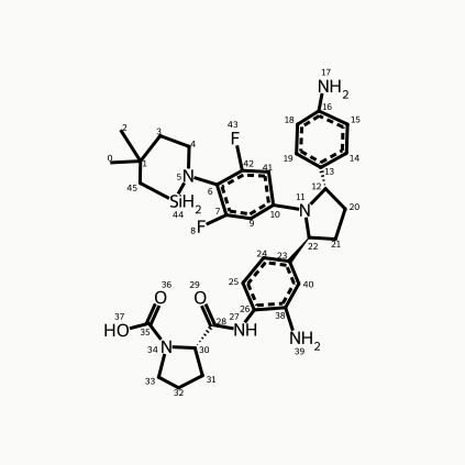 CC1(C)CCN(c2c(F)cc(N3[C@H](c4ccc(N)cc4)CC[C@H]3c3ccc(NC(=O)[C@@H]4CCCN4C(=O)O)c(N)c3)cc2F)[SiH2]C1